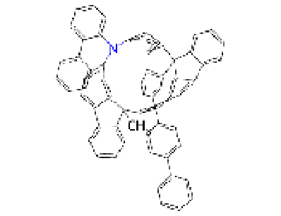 CC12c3ccc4c(c3)-c3ccccc3C43c4cc(-c5ccc(-c6ccccc6)cc5)ccc4-c4ccc(cc43)N(c3ccccc3-c3ccccc3)c3ccc(c1c3)-c1ccccc12